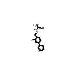 N=C(N)N/N=C/c1ccc(-c2ccccc2)cc1Cl